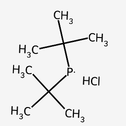 CC(C)(C)[P]C(C)(C)C.Cl